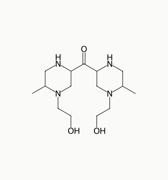 CC1CNC(C(=O)C2CN(CCO)C(C)CN2)CN1CCO